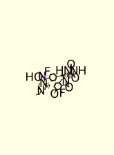 CCN1CCN(/C(=N\O)c2ccc(C#C[C@]3(CN4Cc5ccc(OC)c(F)c5C4=O)NC(=O)NC3=O)cc2F)[C@@H](C)C1